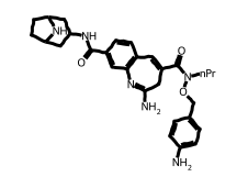 CCCN(OCc1ccc(N)cc1)C(=O)C1=Cc2ccc(C(=O)NC3CC4CCC(C3)N4)cc2N=C(N)C1